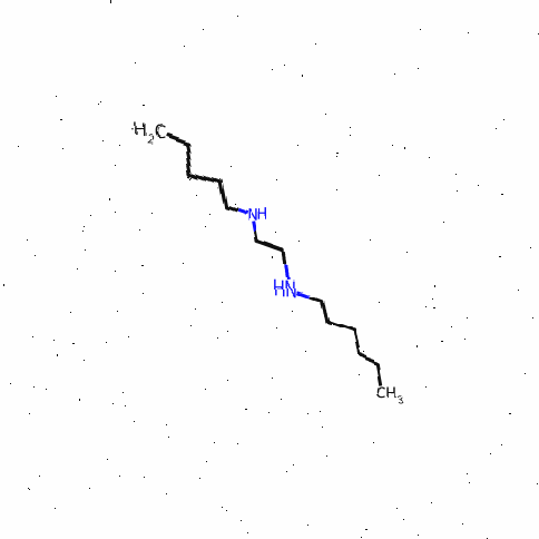 [CH2]CCCCNCCNCCCCCC